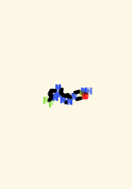 N=S1(=O)CCN(c2cc(-c3cnc4ccc(C(F)F)nn34)ncn2)CC1